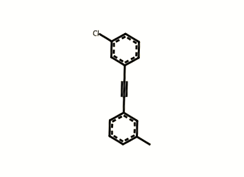 Cc1cccc(C#Cc2cccc(Cl)c2)c1